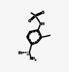 CC[C@@H](N)c1ccc(NS(C)(=O)=O)c(C)c1